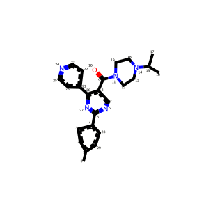 Cc1ccc(-c2ncc(C(=O)N3CCN(C(C)C)CC3)c(-c3ccncc3)n2)cc1